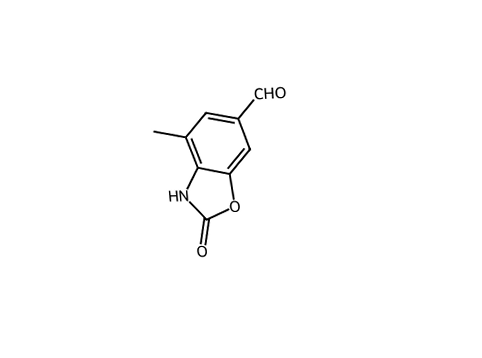 Cc1cc(C=O)cc2oc(=O)[nH]c12